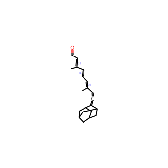 C\C(C=C=C1C2CC3CC(C2)CC1C3)=C/C=C/C(C)=C/C=O